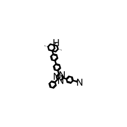 C[C@@H]1C[C@@H]2C[C@H](C)CC(c3ccc(-c4ccc(-c5nc(-c6ccccc6)nc(-c6ccc(C#N)cc6)n5)cc4)cc3)(C1)C2